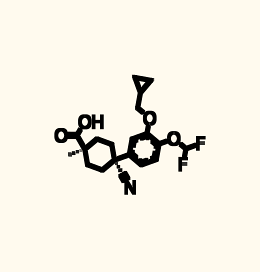 C[C@]1(C(=O)O)CC[C@@](C#N)(c2ccc(OC(F)F)c(OCC3CC3)c2)CC1